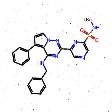 CC(C)(C)NS(=O)(=O)c1cncc(-c2nc(NCc3ccccc3)c3c(-c4ccccc4)ccn3n2)n1